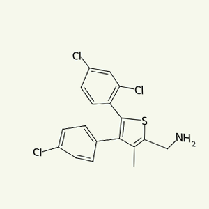 Cc1c(CN)sc(-c2ccc(Cl)cc2Cl)c1-c1ccc(Cl)cc1